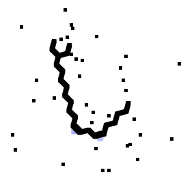 CCCCC/C=C\C/C=C\CCCCCCCCC(CC)CC